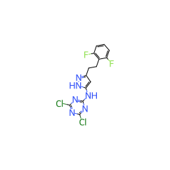 Fc1cccc(F)c1CCc1cc(Nc2nc(Cl)nc(Cl)n2)[nH]n1